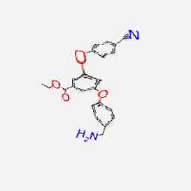 CCOC(=O)c1cc(Oc2ccc(C#N)cc2)cc(Oc2ccc(CN)cc2)c1